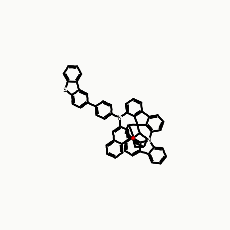 c1cc2c(c(N(c3ccc(-c4ccc5sc6ccccc6c5c4)cc3)c3ccc4ccccc4c3)c1)C1(c3c-2cccc3-n2c3ccccc3c3ccccc32)C2CC3CC(C2)C1C3